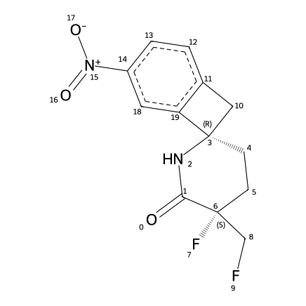 O=C1N[C@]2(CC[C@@]1(F)CF)Cc1ccc([N+](=O)[O-])cc12